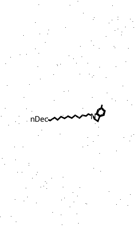 CCCCCCCCCCCCCCCCCCCCCCN1CCc2ccc(C)cc21